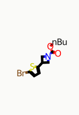 CCCCOC(=O)N1CC(c2ccc(Br)s2)C1